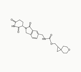 O=C1CCC(N2Cc3ccc(CNC(=O)OCC4CC45CCOCC5)cc3C2=O)C(=O)N1